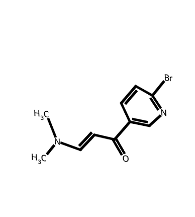 CN(C)/C=C/C(=O)c1ccc(Br)nc1